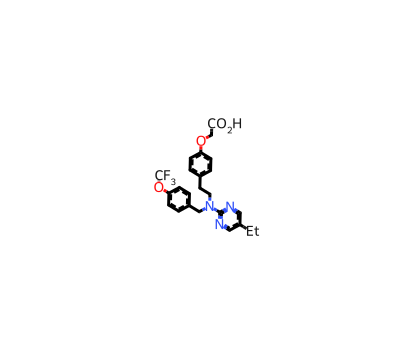 CCc1cnc(N(CCc2ccc(OCC(=O)O)cc2)Cc2ccc(OC(F)(F)F)cc2)nc1